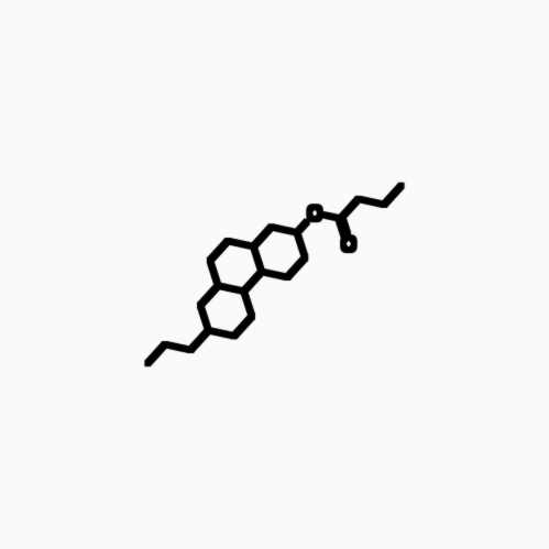 CCCC(=O)OC1CCC2C(CCC3CC(CCC)CCC32)C1